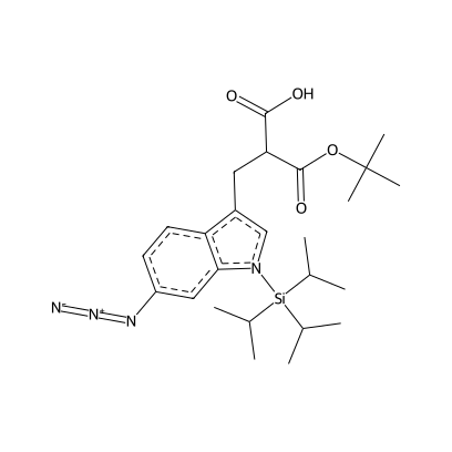 CC(C)[Si](C(C)C)(C(C)C)n1cc(CC(C(=O)O)C(=O)OC(C)(C)C)c2ccc(N=[N+]=[N-])cc21